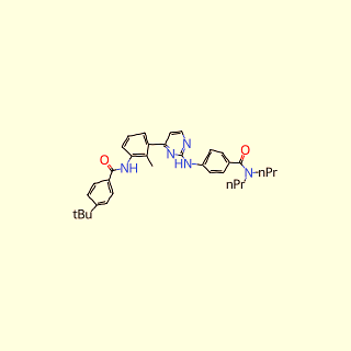 CCCN(CCC)C(=O)c1ccc(Nc2nccc(-c3cccc(NC(=O)c4ccc(C(C)(C)C)cc4)c3C)n2)cc1